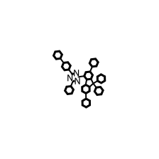 c1ccc(-c2ccc(-c3nc(-c4ccccc4)nc(-c4cc(-c5ccccc5)cc5c4-c4ccc(-c6ccccc6)cc4C5(c4ccccc4)c4ccccc4)n3)cc2)cc1